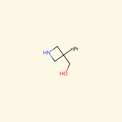 CCCC1(CO)CNC1